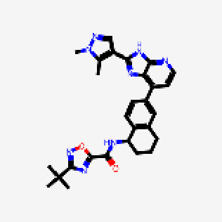 Cc1c(-c2nc3c(-c4ccc5c(c4)CCCC5NC(=O)c4nc(C(C)(C)C)no4)ccnc3[nH]2)cnn1C